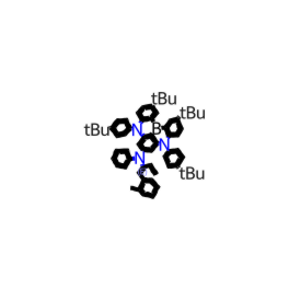 C=C/C(=C\c1ccccc1C)N(c1ccccc1)c1cc2c3c(c1)N(c1ccc(C(C)(C)C)cc1)c1ccc(C(C)(C)C)cc1B3c1cc(C(C)(C)C)ccc1N2c1ccc(C(C)(C)C)cc1